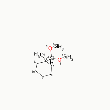 CC1([SiH](O[SiH3])O[SiH3])CCCCC1